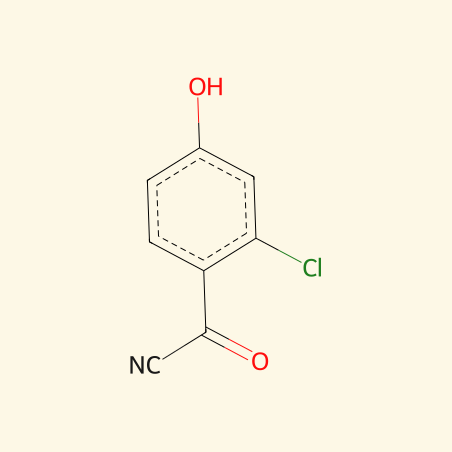 N#CC(=O)c1ccc(O)cc1Cl